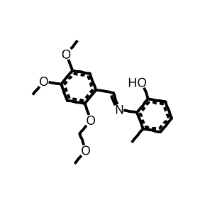 COCOc1cc(OC)c(OC)cc1/C=N/c1c(C)cccc1O